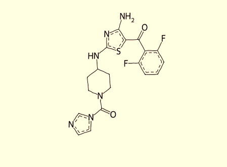 Nc1nc(NC2CCN(C(=O)n3ccnc3)CC2)sc1C(=O)c1c(F)cccc1F